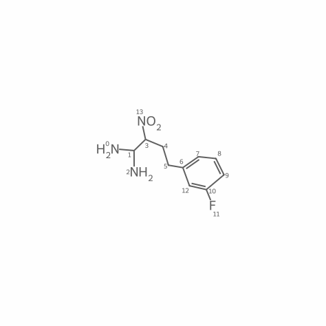 NC(N)C(CCc1cccc(F)c1)[N+](=O)[O-]